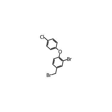 Clc1ccc(Oc2ccc(CBr)cc2Br)cc1